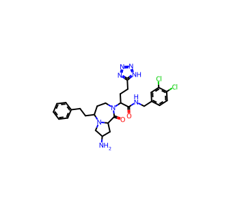 NC1CC2C(=O)N(C(CCc3nnn[nH]3)C(=O)NCc3ccc(Cl)c(Cl)c3)CCC(CCc3ccccc3)N2C1